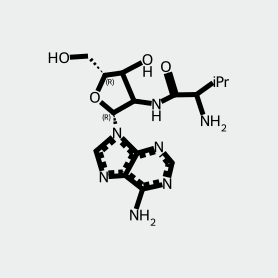 CC(C)C(N)C(=O)NC1C(O)[C@@H](CO)O[C@H]1n1cnc2c(N)ncnc21